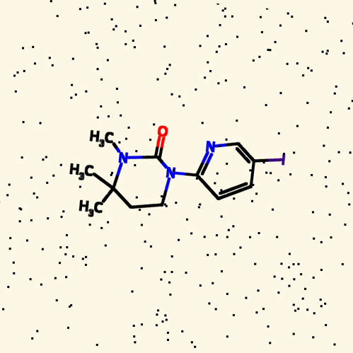 CN1C(=O)N(c2ccc(I)cn2)CCC1(C)C